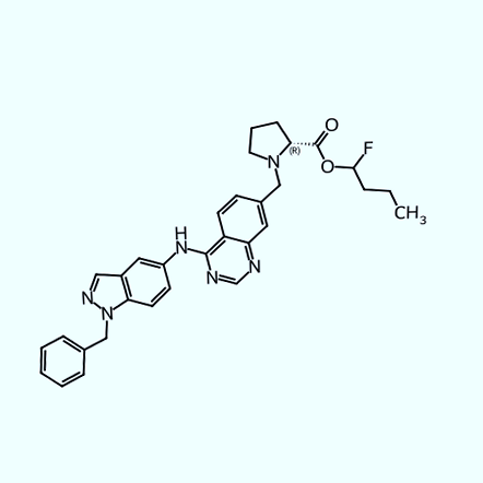 CCCC(F)OC(=O)[C@H]1CCCN1Cc1ccc2c(Nc3ccc4c(cnn4Cc4ccccc4)c3)ncnc2c1